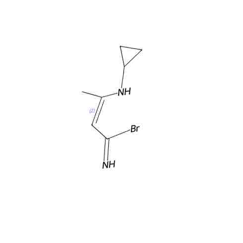 C/C(=C/C(=N)Br)NC1CC1